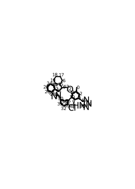 Cc1cc(-c2nnn[nH]2)cc2c1OCC(C1CCCCC1)c1c3ccccc3nn1-c1ccc(Cl)c-2c1